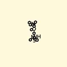 c1ccc(C2=NC(c3ccc(C4CCc5cc6c7ccccc7n7c8c9ccccc9ccc8c(c5-c5ccccc54)c67)cc3)Nc3c2sc2ccccc32)cc1